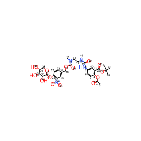 CC(=O)Oc1ccc(NC(=O)N(C)CCN(C)C(=O)OCc2ccc(O[C@@H]3OC[C@@H](O)[C@H](O)[C@H]3O)c([N+](=O)[O-])c2)cc1C(=O)OC(C)(C)C